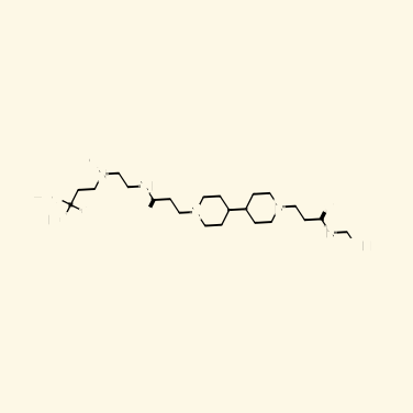 CCNC(=O)CCN1CCC(C2CCN(CCC(=O)NCCN(C)CCC(C)(C)C)CC2)CC1